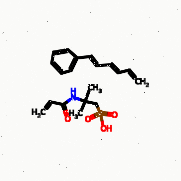 C=CC(=O)NC(C)(C)CS(=O)(=O)O.C=CC=CC=Cc1ccccc1